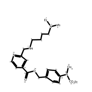 CCCN(CC)CCCCNCc1cc(C(=O)OCc2ccc(N(C)C(=O)OCC)cc2)ccn1